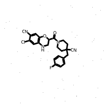 [C-]#[N+]c1cc2c(cc1Cl)NCC(C(=O)N1CCC(C#N)(Cc3ccc(F)cc3)CC1)O2